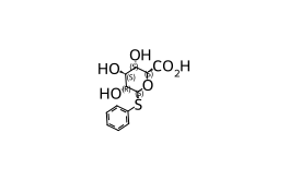 O=C(O)[C@H]1O[C@@H](Sc2ccccc2)[C@H](O)[C@@H](O)[C@@H]1O